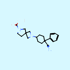 N#CC1(c2ccccc2)CCC(N2CC3(CCN(C(=O)O)C3)C2)CC1